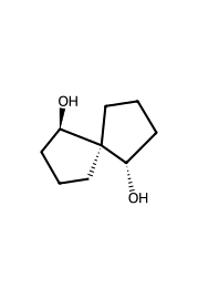 O[C@@H]1CCC[C@@]12CCC[C@@H]2O